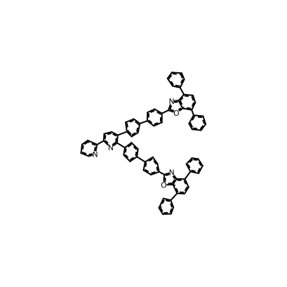 c1ccc(-c2ccc(-c3ccccc3)c3oc(-c4ccc(-c5ccc(-c6ccc(-c7ccccn7)nc6-c6ccc(-c7ccc(-c8nc9c(-c%10ccccc%10)ccc(-c%10ccccc%10)c9o8)cc7)cc6)cc5)cc4)nc23)cc1